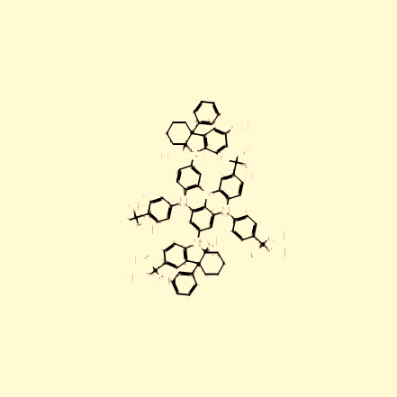 Cc1ccc2c(c1)C1(c3ccccc3)CCCCC1(C)N2c1ccc2c(c1)B1c3cc(C(C)(C)C)ccc3N(c3ccc(C(C)(C)C)cc3)c3cc(N4c5ccc(C(C)(C)C)cc5C5(c6ccccc6)CCCCC45C)cc(c31)N2c1ccc(C(C)(C)C)cc1